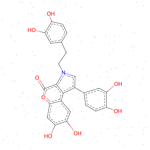 O=c1oc2cc(O)c(O)cc2c2c(-c3ccc(O)c(O)c3)cn(CCc3ccc(O)c(O)c3)c12